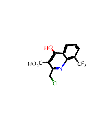 O=C(O)c1c(CCl)nc2c(C(F)(F)F)cccc2c1O